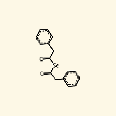 O=C(Cc1ccccc1)[Se]C(=O)Cc1ccccc1